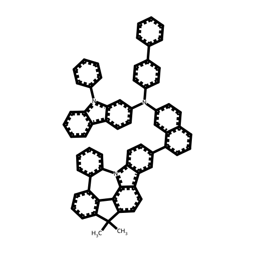 CC1(C)c2cccc3c2-c2c1ccc1c4cc(-c5cccc6ccc(N(c7ccc(-c8ccccc8)cc7)c7ccc8c9ccccc9n(-c9ccccc9)c8c7)cc56)ccc4n(c21)-c1ccccc1-3